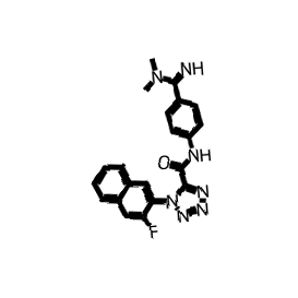 CN(C)C(=N)c1ccc(NC(=O)c2nnnn2-c2cc3ccccc3cc2F)cc1